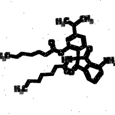 CCCCCCC(=O)NC1(c2ccc(C(C)C)cc2OC(=O)CCCCCC)C(=O)c2cccc(N)c2C1=O